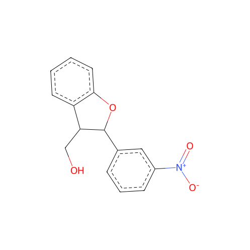 O=[N+]([O-])c1cccc(C2Oc3ccccc3C2CO)c1